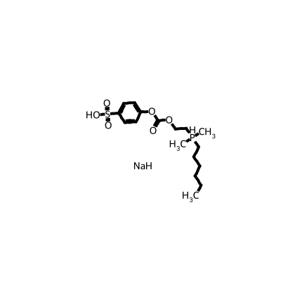 CCCCCC[PH](C)(C)CCOC(=O)Oc1ccc(S(=O)(=O)O)cc1.[NaH]